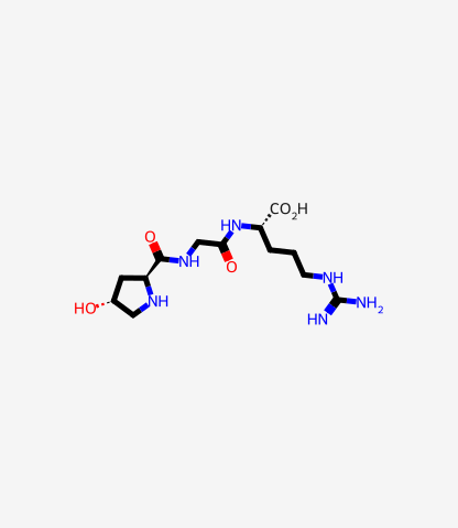 N=C(N)NCCC[C@H](NC(=O)CNC(=O)[C@@H]1C[C@@H](O)CN1)C(=O)O